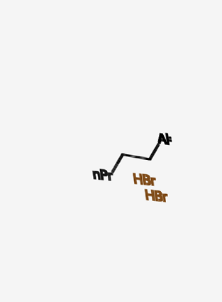 Br.Br.CCCC[CH2][Al]